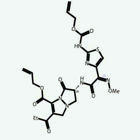 C=CCOC(=O)Nc1nc(/C(=N/OC)C(=O)N[C@@H]2CN3CC(C(=O)CC)=C(C(=O)OCC=C)N3C2=O)cs1